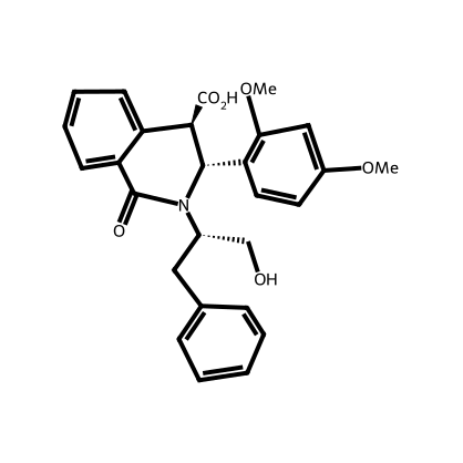 COc1ccc([C@H]2[C@H](C(=O)O)c3ccccc3C(=O)N2[C@H](CO)Cc2ccccc2)c(OC)c1